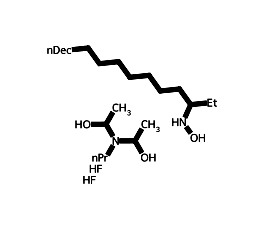 CCCCCCCCCCCCCCCCCC(CC)NO.CCCN(C(C)O)C(C)O.F.F